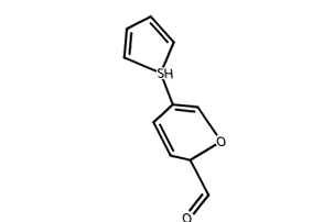 O=CC1C=CC([SH]2C=CC=C2)=CO1